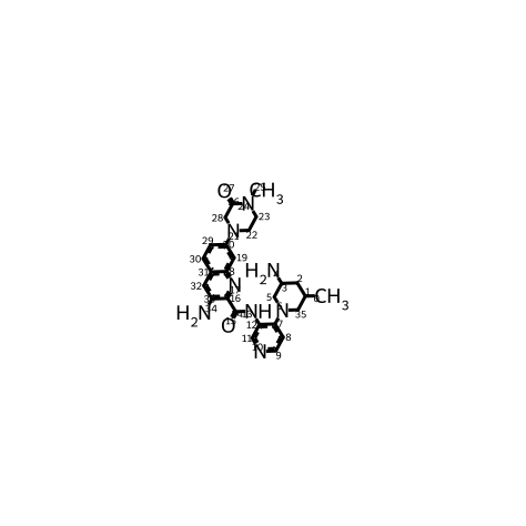 CC1CC(N)CN(c2ccncc2NC(=O)c2nc3cc(N4CCN(C)C(=O)C4)ccc3cc2N)C1